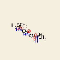 CC(C)NS(=O)(=O)c1ccc(NC(=O)C2CCC(NS(=O)(=O)C(C)C)CC2)cc1